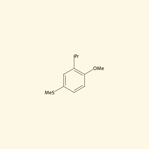 COc1ccc(SC)cc1C(C)C